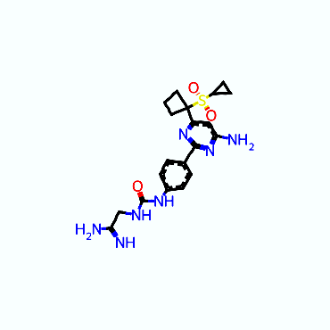 N=C(N)CNC(=O)Nc1ccc(-c2nc(N)cc(C3(S(=O)(=O)C4CC4)CCC3)n2)cc1